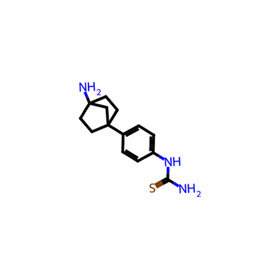 NC(=S)Nc1ccc(C23CCC(N)(CC2)C3)cc1